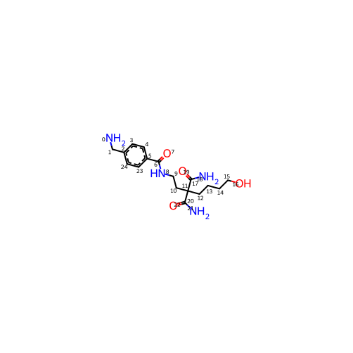 NCc1ccc(C(=O)NCCC(CCCCO)(C(N)=O)C(N)=O)cc1